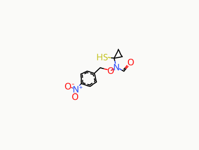 O=CN(OCc1ccc([N+](=O)[O-])cc1)C1(S)CC1